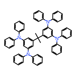 CC(C)(c1cc(N(c2ccccc2)c2ccccc2)cc(N(c2ccccc2)c2ccccc2)c1)c1cc(N(c2ccccc2)c2ccccc2)cc(N(c2ccccc2)c2ccccc2)c1